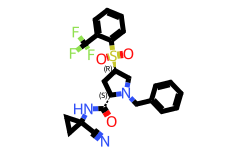 N#CC1(NC(=O)[C@@H]2C[C@@H](S(=O)(=O)c3ccccc3C(F)(F)F)CN2Cc2ccccc2)CC1